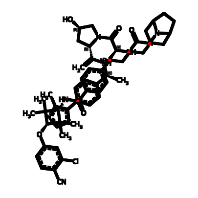 C=C(N[C@@H](C)c1ccc(-c2scnc2C)cc1)[C@@H]1C[C@@H](O)CN1C(=O)[C@@H](NC(=O)CN1C2CCC1CN(CCCCc1ccc(C(=O)N[C@H]3C(C)(C)[C@H](Oc4ccc(C#N)c(Cl)c4)C3(C)C)cc1)C2)C(C)(C)C